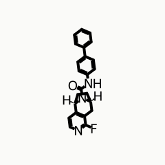 O=C(Nc1ccc(-c2ccccc2)cc1)N1[C@H]2CC[C@@H]1c1ccnc(F)c1C2